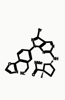 CNC(=O)[C@]1(C)CC[C@@H](Nc2ncc3c(Br)nn(-c4ccc(-c5ncco5)c(CC#N)c4)c3n2)C1